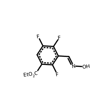 CCOC(=O)c1cc(F)c(F)c(C=NO)c1F